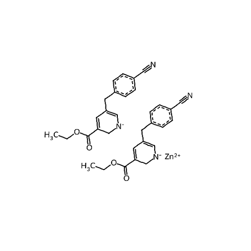 CCOC(=O)C1=CC(Cc2ccc(C#N)cc2)=C[N-]C1.CCOC(=O)C1=CC(Cc2ccc(C#N)cc2)=C[N-]C1.[Zn+2]